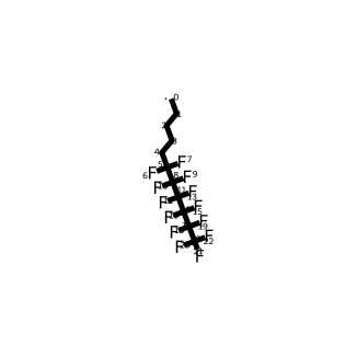 [CH2]CCCCC(F)(F)C(F)(F)C(F)(F)C(F)(F)C(F)(F)C(F)(F)F